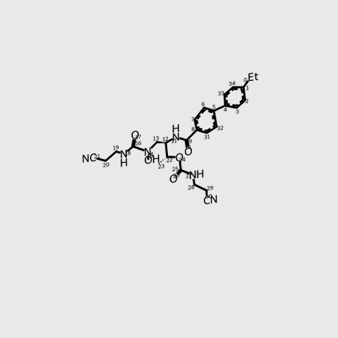 CCc1ccc(-c2ccc(C(=O)N[C@H](CN(O)C(=O)NCCC#N)[C@@H](C)OC(=O)NCCC#N)cc2)cc1